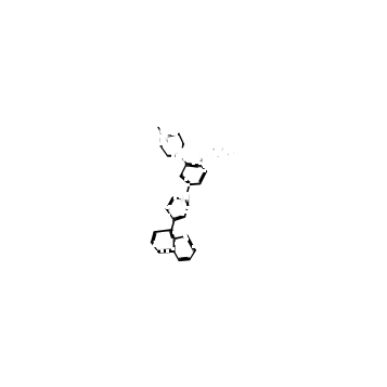 COc1ccc(N2C=CC(c3cccc4[c]cccc34)=CC2)cc1N1CCN(C)CC1